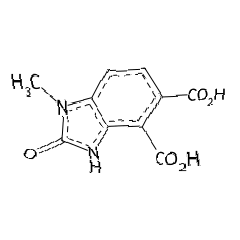 Cn1c(=O)[nH]c2c(C(=O)O)c(C(=O)O)ccc21